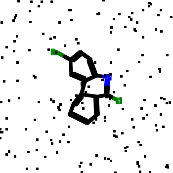 Clc1nc2ccc(Br)cc2c2ccccc12